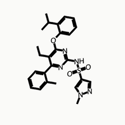 CCc1c(Oc2ccccc2C(C)C)nc(NS(=O)(=O)c2cnn(C)c2)nc1-c1ccccc1C